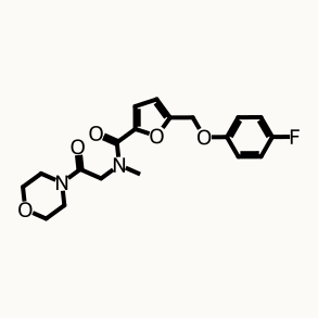 CN(CC(=O)N1CCOCC1)C(=O)c1ccc(COc2ccc(F)cc2)o1